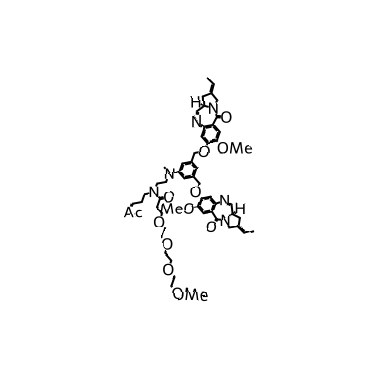 C/C=C1\C[C@H]2C=Nc3cc(OCc4cc(COc5cc6c(cc5OC)C(=O)N5C/C(=C/C)C[C@H]5C=N6)cc(N(C)CCN(CCCC(C)=O)C(=O)CCOCCOCCOCCOC)c4)c(OC)cc3C(=O)N2C1